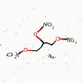 O=[N+]([O-])OCC(CO[N+](=O)[O-])O[N+](=O)[O-].[Na+]